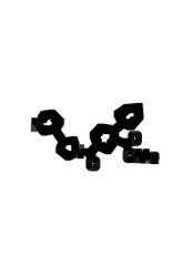 COC(=O)c1cc(C(=O)N2CCC(c3cccnc3)C2)ccc1-c1ccccc1